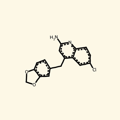 Nc1cc(Cc2ccc3c(c2)OCO3)c2cc(Cl)ccc2n1